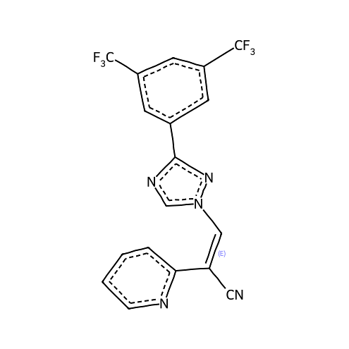 N#C/C(=C/n1cnc(-c2cc(C(F)(F)F)cc(C(F)(F)F)c2)n1)c1ccccn1